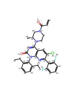 C=CC(=O)N1CCN(c2nc(=O)n(-c3c(CC)cccc3CC)c3nc(-c4c(F)cccc4F)c(Cl)cc23)[C@@H](C)C1